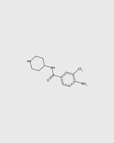 Nc1ccc(C(=O)NC2CCNCC2)cc1C(F)(F)F